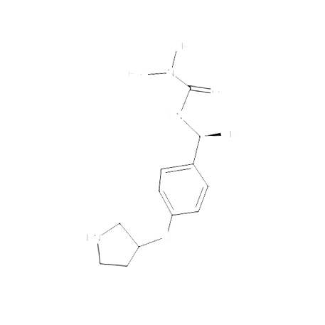 C[C@H](NC(=O)N(C)C)c1ccc(OC2CCNC2)cc1